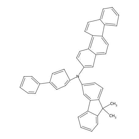 CC1(C)c2ccccc2-c2cc(N(c3ccc(-c4ccccc4)cc3)c3ccc4c(ccc5c6ccccc6ccc45)c3)ccc21